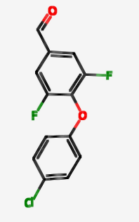 O=Cc1cc(F)c(Oc2ccc(Cl)cc2)c(F)c1